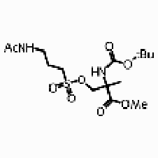 COC(=O)C(C)(COS(=O)(=O)CCCNC(C)=O)NC(=O)OC(C)(C)C